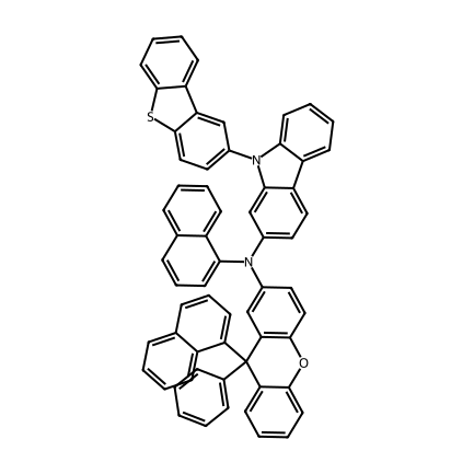 c1ccc(C2(c3cccc4ccccc34)c3ccccc3Oc3ccc(N(c4ccc5c6ccccc6n(-c6ccc7sc8ccccc8c7c6)c5c4)c4cccc5ccccc45)cc32)cc1